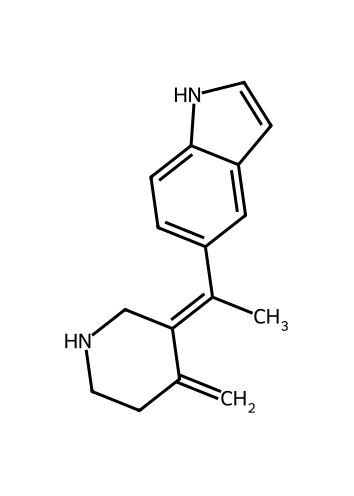 C=C1CCNC/C1=C(/C)c1ccc2[nH]ccc2c1